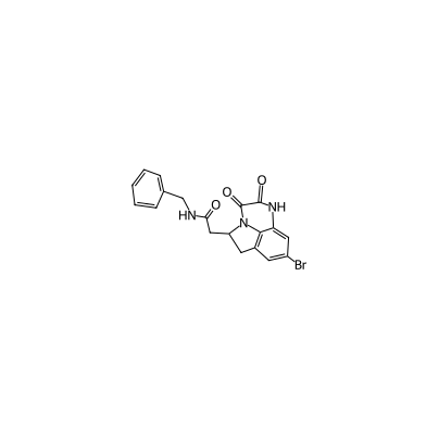 O=C(CC1Cc2cc(Br)cc3[nH]c(=O)c(=O)n1c23)NCc1ccccc1